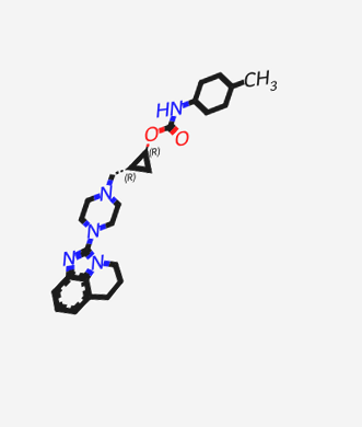 CC1CCC(NC(=O)O[C@@H]2C[C@@H]2CN2CCN(c3nc4cccc5c4n3CCC5)CC2)CC1